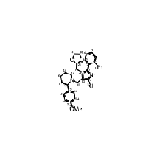 CCc1ccccc1-c1nc(Cl)c(CN2CCCCC2c2ccc(OC)cc2)n1CC1OCCO1